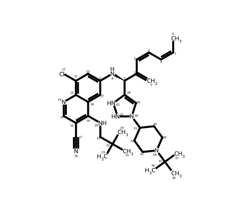 C=C(/C=C\C=C/C)[C@H](Nc1cc(Cl)c2ncc(C#N)c(NCC(C)(C)C)c2c1)C1=CN(C2CCN(C(C)(C)C)CC2)NN1